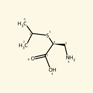 CC(C)S[C@@H](CN)C(=O)O